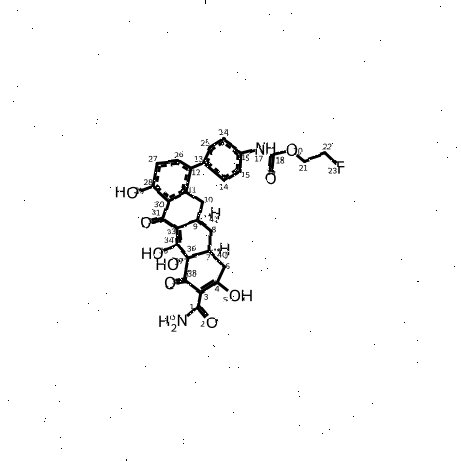 NC(=O)C1=C(O)C[C@@H]2C[C@@H]3Cc4c(-c5ccc(NC(=O)OCCF)cc5)ccc(O)c4C(=O)C3=C(O)[C@]2(O)C1=O